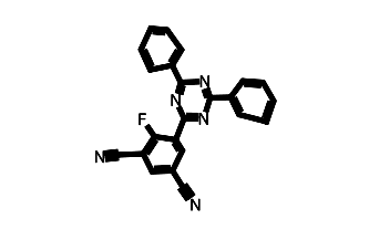 N#Cc1cc(C#N)c(F)c(-c2nc(-c3ccccc3)nc(-c3ccccc3)n2)c1